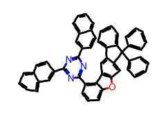 c1ccc(C2(c3ccccc3)c3ccccc3-c3cc4c(cc32)oc2cccc(-c3nc(-c5ccc6ccccc6c5)nc(-c5ccc6ccccc6c5)n3)c24)cc1